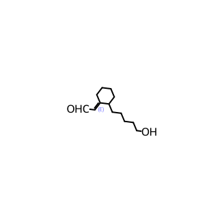 O=C/C=C1\CCCCC1CCCCCO